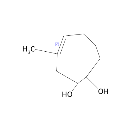 C/C1=C/CCCC(O)C(O)C1